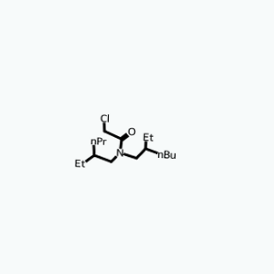 CCCCC(CC)CN(CC(CC)CCC)C(=O)CCl